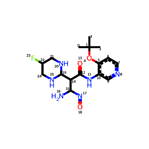 CC(C)(C)Oc1ccncc1NC(=O)C(C(N)N=O)C1NCC(F)CN1